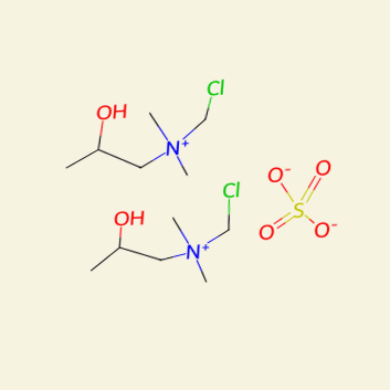 CC(O)C[N+](C)(C)CCl.CC(O)C[N+](C)(C)CCl.O=S(=O)([O-])[O-]